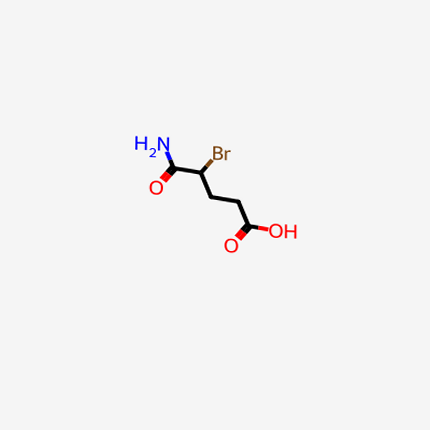 NC(=O)C(Br)CCC(=O)O